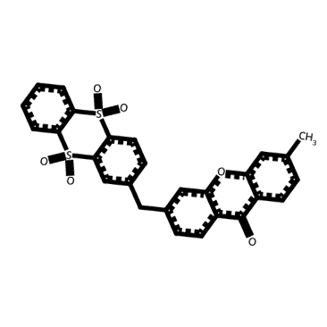 Cc1ccc2c(=O)c3ccc(Cc4ccc5c(c4)S(=O)(=O)c4ccccc4S5(=O)=O)cc3oc2c1